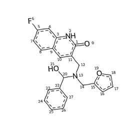 O=c1[nH]c2cc(F)ccc2cc1CN(Cc1ccco1)C(O)c1ccccc1